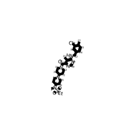 CCS(=O)(=O)N(C)C1CCN(C2CCN(C(=O)c3ncnc(NCc4ccc(C)c(Cl)c4)c3C)CC2)CC1